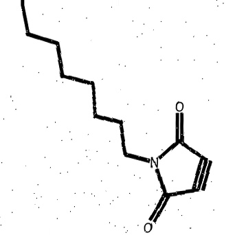 CCCCCCCCN1C(=O)C#CC1=O